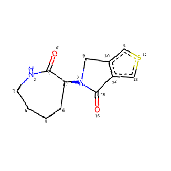 O=C1NCCCC[C@@H]1N1Cc2cscc2C1=O